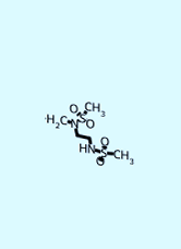 [CH2]N(CCNS(C)(=O)=O)S(C)(=O)=O